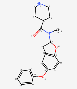 CN(C(=O)C1CCNCC1)C1Cc2cc(Oc3ccccc3)ccc2O1